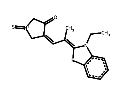 CCN1C(=C(C)C=C2C[N+](=S)CC2=O)Sc2ccccc21